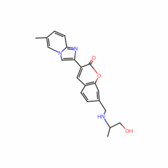 Cc1ccc2nc(-c3cc4ccc(CNC(C)CO)cc4oc3=O)cn2c1